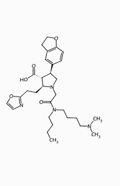 CCCCN(CCCCN(C)C)C(=O)CN1C[C@H](c2ccc3c(c2)CCO3)[C@@H](C(=O)O)[C@@H]1CCc1ncco1